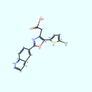 O=C(O)Cc1nc(-c2ccc3ncccc3c2)oc1-c1ccc(Cl)s1